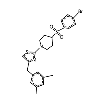 Cc1cc(C)cc(Cc2csc(N3CCC(S(=O)(=O)c4ccc(Br)cc4)CC3)n2)c1